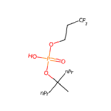 CCCC(C)(CCC)OP(=O)(O)OCCC(F)(F)F